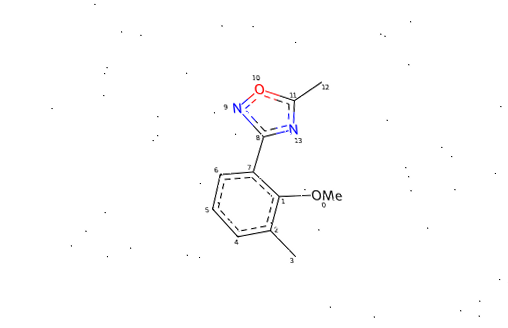 COc1c(C)cccc1-c1noc(C)n1